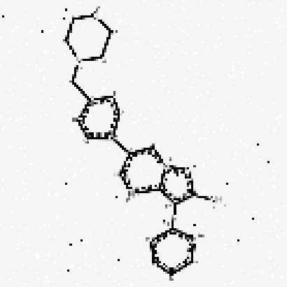 Nc1nn2cc(-c3ccc(CN4CCOCC4)cc3)cnc2c1-c1ccccn1